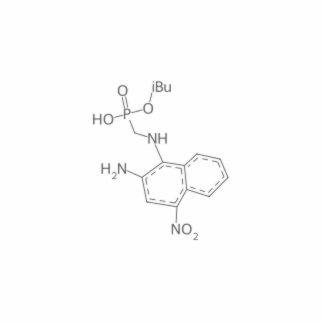 CCC(C)OP(=O)(O)CNc1c(N)cc([N+](=O)[O-])c2ccccc12